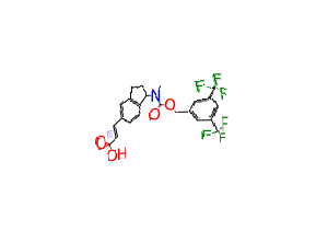 CN(C(=O)OCc1cc(C(F)(F)F)cc(C(F)(F)F)c1)C1CCc2cc(/C=C/C(=O)O)ccc21